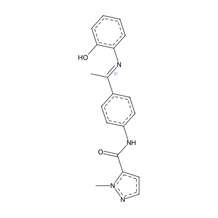 C/C(=N\c1ccccc1O)c1ccc(NC(=O)c2ccnn2C)cc1